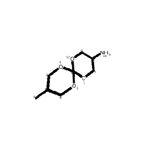 CC1COC2(OC1)OCC(N)CO2